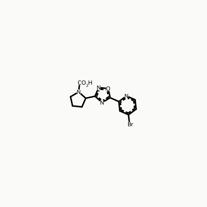 O=C(O)N1CCCC1c1noc(-c2cc(Br)ccn2)n1